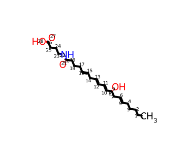 CCCCCC=CCC(O)C=CC=CCC=CCCCC(=O)NCCCC(=O)O